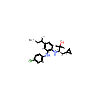 CCC(CC(=O)O)c1ccc(N[C@H](CC2CC2)C(C)(C)O)c(Nc2ccc(Cl)cc2)c1